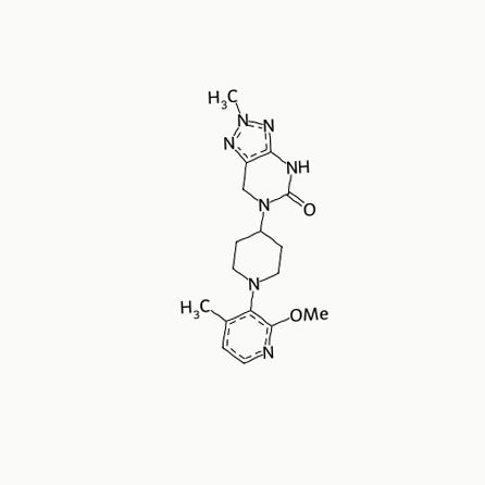 COc1nccc(C)c1N1CCC(N2Cc3nn(C)nc3NC2=O)CC1